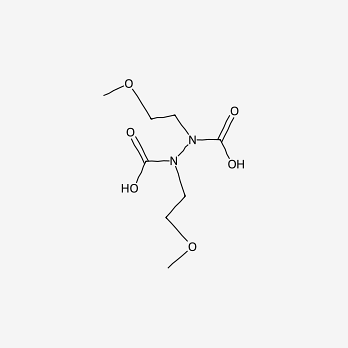 COCCN(C(=O)O)N(CCOC)C(=O)O